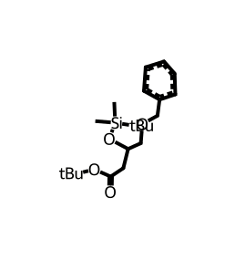 CC(C)(C)OC(=O)CC(COCc1ccccc1)O[Si](C)(C)C(C)(C)C